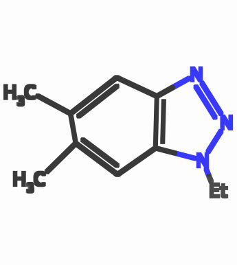 CCn1nnc2cc(C)c(C)cc21